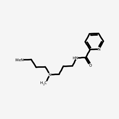 CNCCCN(C)CCCNC(=O)c1ccccn1